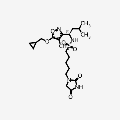 Cc1c([C@@H](CC(C)C)NS(=O)(=O)CCCCCN2CC(=O)NC2=O)noc1OCC1CC1